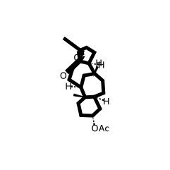 CC(=O)O[C@@H]1CC[C@@]2(C)[C@@H](CC[C@@H]3C[C@@H]2CCC24C(=O)OC(C)C2CC[C@@H]34)C1